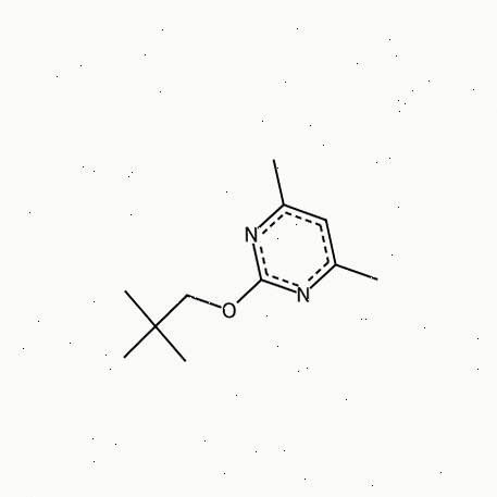 Cc1cc(C)nc(OCC(C)(C)C)n1